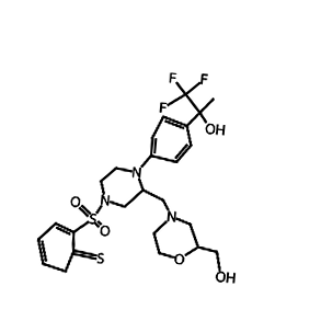 CC(O)(c1ccc(N2CCN(S(=O)(=O)C3=CC=CCC3=S)CC2CN2CCOC(CO)C2)cc1)C(F)(F)F